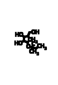 CCC(C)(C)OC1OC(CO)C(O)C1O